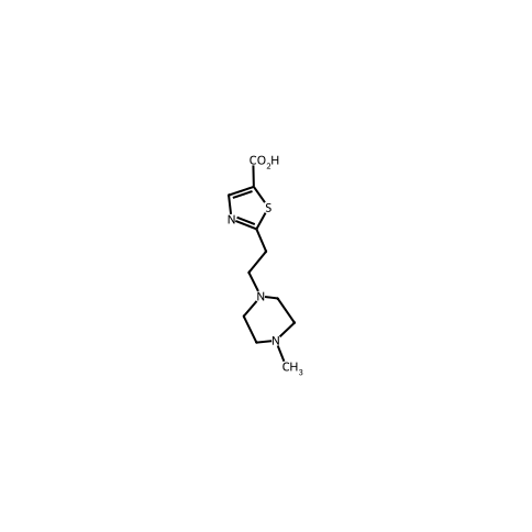 CN1CCN(CCc2ncc(C(=O)O)s2)CC1